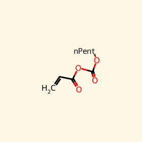 C=CC(=O)OC(=O)OCCCCC